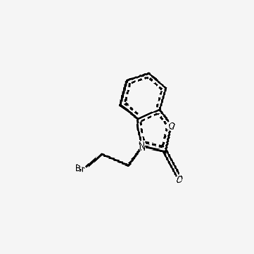 O=c1oc2ccccc2n1CCBr